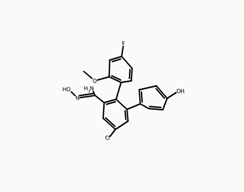 COc1cc(F)ccc1-c1c(/C(N)=N/O)cc(Cl)cc1-c1ccc(O)cc1